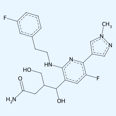 Cn1cc(-c2nc(NCCc3cccc(F)c3)c(C(O)C(CO)CC(N)=O)cc2F)cn1